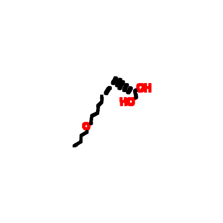 C=C.C=C.C=C.C=C.C=C.C=C.CCCCCCOCCCC.OCCO